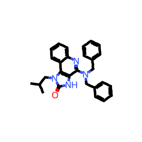 CC(C)Cn1c(=O)[nH]c2c(N(Cc3ccccc3)Cc3ccccc3)nc3ccccc3c21